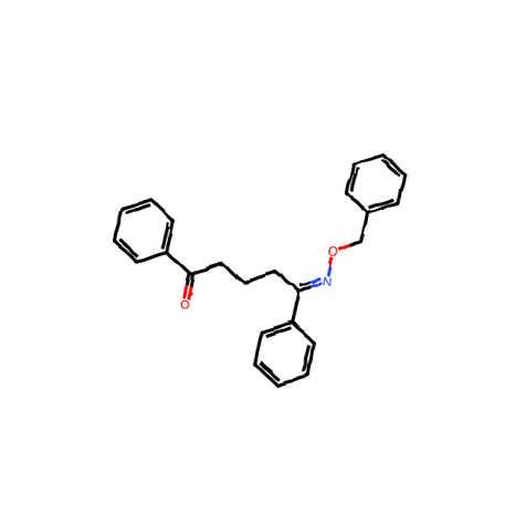 O=C(CCC/C(=N\OCc1ccccc1)c1ccccc1)c1ccccc1